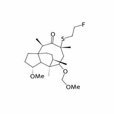 COCOC1C[C@@](C)(SCCF)C(=O)[C@H](C)C23CC[C@@H](C)[C@]1(C)C2[C@H](OC)CC3